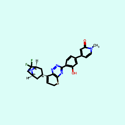 Cn1ccc(-c2ccc(-c3nnc4c(n3)SCC=C4[C@@H]3C[C@H]4CC(F)(F)[C@@H](C3)N4)c(O)c2)cc1=O